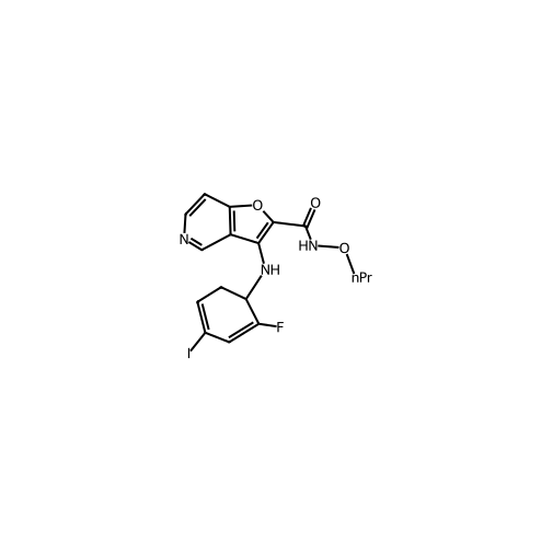 CCCONC(=O)c1oc2ccncc2c1NC1CC=C(I)C=C1F